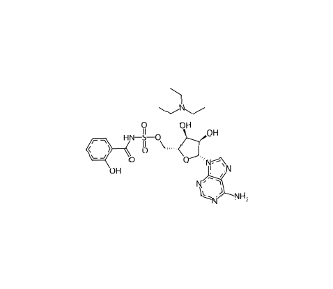 CCN(CC)CC.Nc1ncnc2c1ncn2[C@@H]1O[C@H](COS(=O)(=O)NC(=O)c2ccccc2O)[C@@H](O)[C@H]1O